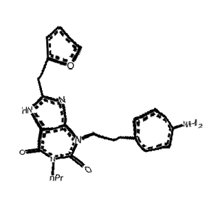 CCCn1c(=O)c2[nH]c(Cc3ccco3)nc2n(CCc2ccc(N)cc2)c1=O